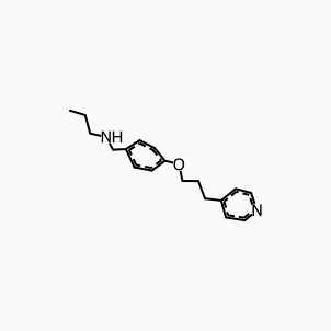 CCCNCc1ccc(OCCCc2ccncc2)cc1